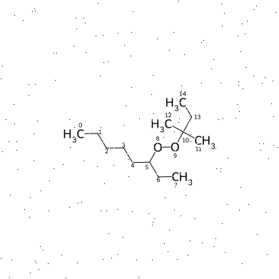 CCCCCC(CC)OOC(C)(C)CC